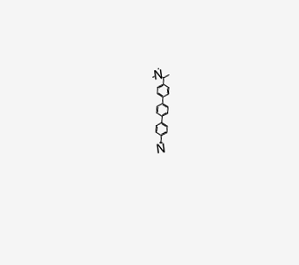 CC(c1ccc(-c2ccc(-c3ccc(C#N)cc3)cc2)cc1)N(C)C